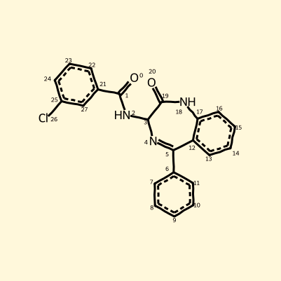 O=C(NC1N=C(c2ccccc2)c2ccccc2NC1=O)c1cccc(Cl)c1